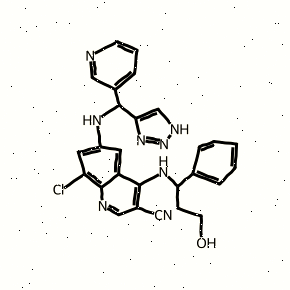 N#Cc1cnc2c(Cl)cc(NC(c3cccnc3)c3c[nH]nn3)cc2c1NC(CCO)c1ccccc1